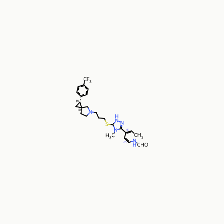 C/C=C(\C=C/NC=O)C1=NNC(SCCCN2CC[C@]3(C[C@@H]3c3ccc(C(F)(F)F)cc3)C2)N1C